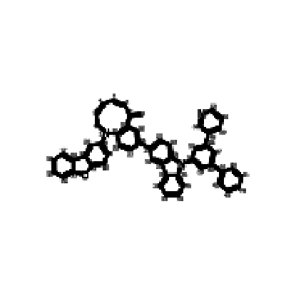 C=C1/C=C\C=C/CN(c2ccc3oc4ccccc4c3c2)c2ccc(-c3ccc4c(c3)c3ccccc3n4-c3cc(-c4ccccc4)cc(-c4cccnc4)c3)cc21